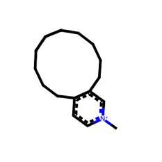 C[n+]1ccc2c(c1)CCCCCCCCCC2